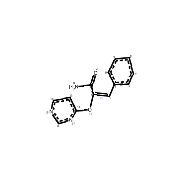 NC(=O)/C(=C\c1ccccc1)Oc1ccncn1